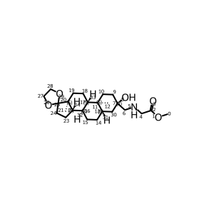 COC(=O)CNC[C@@]1(O)CC[C@@]2(C)[C@@H](CC[C@@H]3[C@@H]2CC[C@@]2(C)[C@H]3CCC23OCCO3)C1